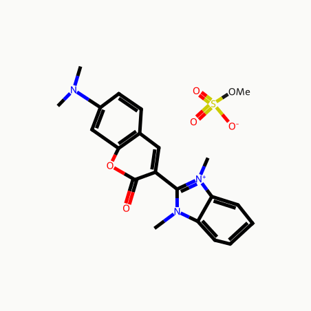 CN(C)c1ccc2cc(-c3n(C)c4ccccc4[n+]3C)c(=O)oc2c1.COS(=O)(=O)[O-]